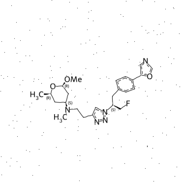 CO[C@H]1C[C@@H](N(C)CCc2cn([C@H](CF)Cc3ccc(-c4cnco4)cc3)nn2)C[C@@H](C)O1